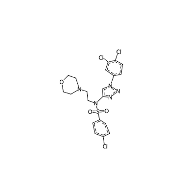 O=S(=O)(c1ccc(Cl)cc1)N(CCN1CCOCC1)c1cn(-c2ccc(Cl)c(Cl)c2)nn1